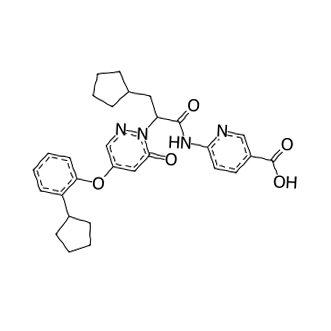 O=C(O)c1ccc(NC(=O)C(CC2CCCC2)n2ncc(Oc3ccccc3C3CCCC3)cc2=O)nc1